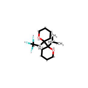 C[SiH](C)C1(C2([SiH2]C(F)(F)F)CCCCO2)CCCCO1